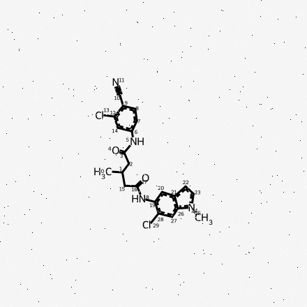 CC(CC(=O)Nc1ccc(C#N)c(Cl)c1)CC(=O)Nc1cc2ccn(C)c2cc1Cl